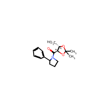 CC1(C)O[C@@H](C(=O)O)[C@H](C(=O)N2CCCC2c2ccccc2)O1